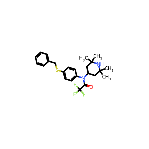 CC1(C)CC(N(C(=O)C(F)(F)F)c2ccc(SCc3ccccc3)cc2)CC(C)(C)N1